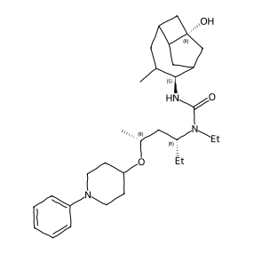 CC[C@H](C[C@@H](C)OC1CCN(c2ccccc2)CC1)N(CC)C(=O)N[C@H]1C(C)CC2C[C@@]3(O)CC1CC23